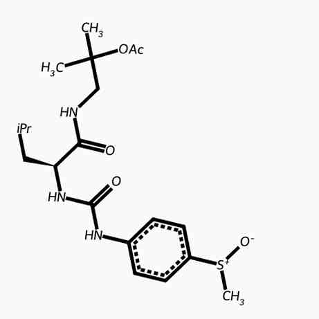 CC(=O)OC(C)(C)CNC(=O)[C@H](CC(C)C)NC(=O)Nc1ccc([S+](C)[O-])cc1